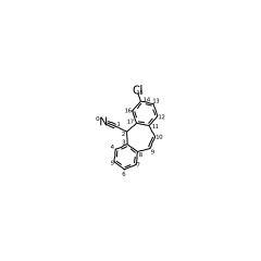 N#CC1c2ccccc2C=Cc2ccc(Cl)cc21